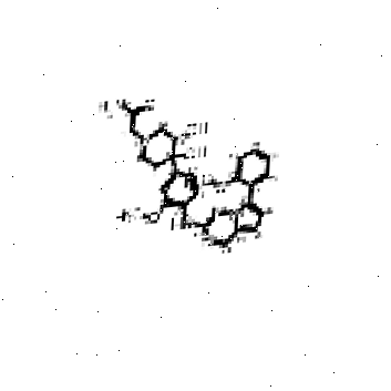 COc1cc([C@]2(O)CCN(CC(N)=O)C[C@H]2O)ccc1Nc1ncc2ccc(-c3ccccc3OC)n2n1